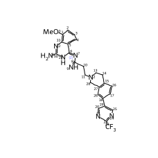 COc1cccc2/c(=N/C(=N)CCN3CCc4ccc(-c5cnc(C(F)(F)F)nc5)cc4C3)[nH]c(N)nc12